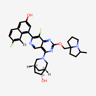 CCc1c(F)ccc2cc(O)cc(-c3ncc4c(N5C[C@@H]6C[C@H](C5)[C@H](O)C6)nc(OCC56CCCN5C(C)CC6)nc4c3F)c12